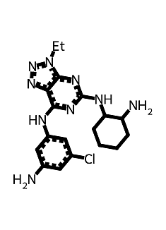 CCn1nnc2c(Nc3cc(N)cc(Cl)c3)nc(NC3CCCCC3N)nc21